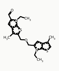 CCn1c(C=O)cc2c(C)c(COCc3cc4c(C)csc4n3CC)sc21